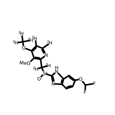 [2H]c1nc(C([2H])([2H])[S+]([O-])c2nc3ccc(OC(F)F)cc3[nH]2)c(OC)c(OC([2H])([2H])[2H])c1[2H]